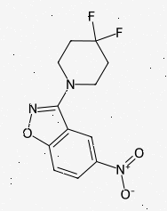 O=[N+]([O-])c1ccc2onc(N3CCC(F)(F)CC3)c2c1